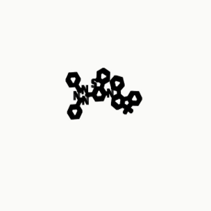 CC1(C)c2ccccc2-c2c1ccc1c2c2ccccc2n1-c1ccc(-c2nc(-c3ccccc3)nc(-c3ccccc3)n2)c2sc3ccccc3c12